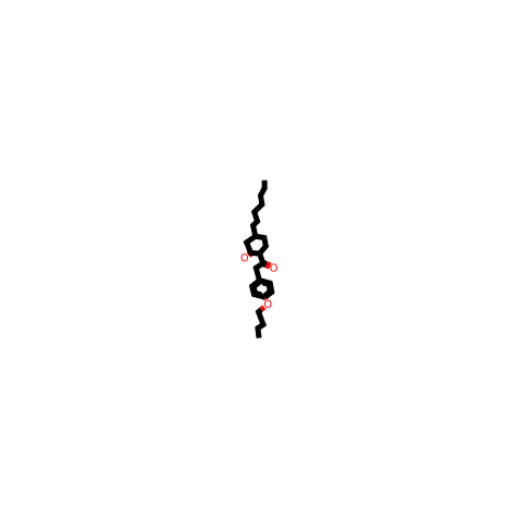 CCCCCCCC1CCC(C(=O)Cc2ccc(OCCCC)cc2)C(=O)C1